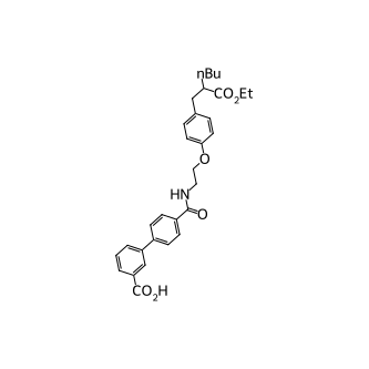 CCCCC(Cc1ccc(OCCNC(=O)c2ccc(-c3cccc(C(=O)O)c3)cc2)cc1)C(=O)OCC